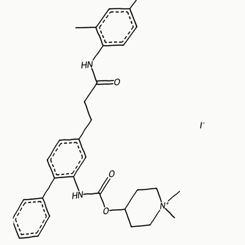 Cc1cc(CO)ccc1NC(=O)CCc1ccc(-c2ccccc2)c(NC(=O)OC2CC[N+](C)(C)CC2)c1.[I-]